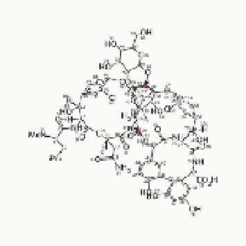 CN[C@H](CC(C)C)C(=O)N[C@H]1C(=O)C[C@@H](CC(N)=O)C(=O)N[C@H]2C(=O)C[C@H]3C(=O)N[C@H](C(=O)N[C@H](C(=O)O)c4cc(O)cc(O)c4-c4cc3ccc4O)[C@H](O)c3ccc(c(Cl)c3)Oc3cc2cc(c3OC2OC(CO)C(O)C(O)C2OC2CC(C)(N)C(O)C(C)O2)Oc2ccc(cc2Cl)[C@H]1O